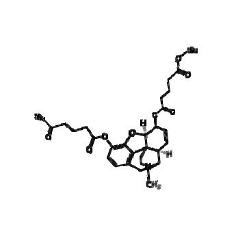 CN1CCC23c4c5ccc(OC(=O)CCCC(=O)C(C)(C)C)c4O[C@H]2[C@@H](OC(=O)CCCC(=O)OC(C)(C)C)C=C[C@H]3C1C5